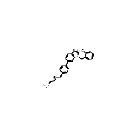 Cc1ccccc1Cn1cnc2ccc(-c3ccc(CNCCN)cc3)cc21